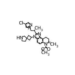 COC(=O)N1c2ccc3c(nc(C(C)Cn4cc(Cl)cn4)n3C3CC4(CCNC4)C3)c2CC[C@@H]1C